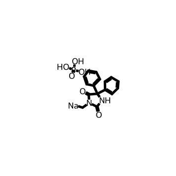 O=C1NC(c2ccccc2)(c2ccccc2)C(=O)N1[CH2][Na].O=P(O)(O)O